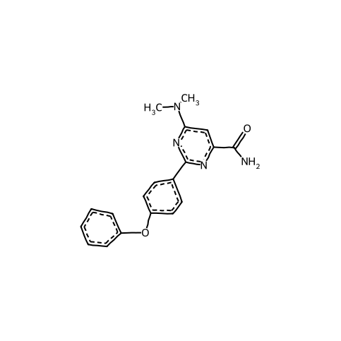 CN(C)c1cc(C(N)=O)nc(-c2ccc(Oc3ccccc3)cc2)n1